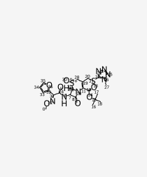 CON=C(C(=O)NC1C(=O)N2C(C(=O)OC(C)(C)C)=C(CSc3nnnn3C)C[S+]([O-])[C@@H]12)c1ccco1